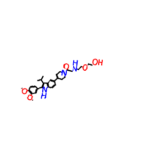 COc1ccc(-c2[nH]c3ccc(C4CCN(C(=O)CNCCOCCO)CC4)cc3c2C(C)C)cc1OC